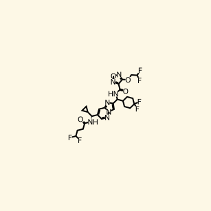 O=C(CCC(F)F)N[C@@H](c1cnn2cc(C(NC(=O)c3nonc3OCC(F)F)C3CCC(F)(F)CC3)nc2c1)C1CC1